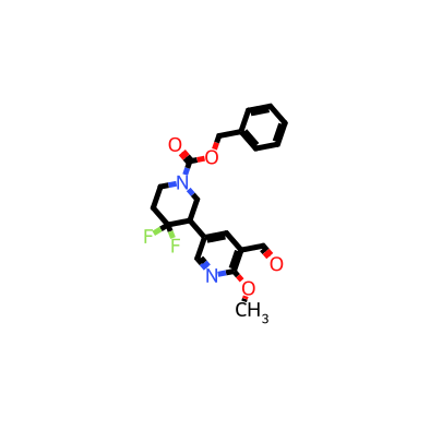 COc1ncc(C2CN(C(=O)OCc3ccccc3)CCC2(F)F)cc1C=O